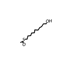 CC(=O)SCCCCCCCCCCCO